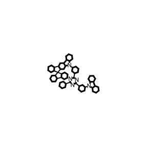 c1ccc(-c2nc(-c3cccc(-n4c5ccccc5c5ccccc54)c3)nc(-c3cccc(-n4c5ccccc5c5cc6c(cc54)C4(c5ccccc5-c5ccccc54)c4ccccc4-6)c3)n2)cc1